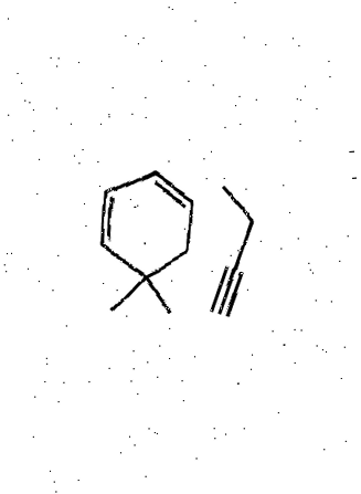 C#CCC.CC1(C)C=CC=CC1